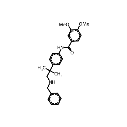 COc1ccc(C(=O)Nc2ccc(C(C)(C)CNCc3ccccc3)cc2)cc1OC